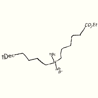 CCCCCCCCCCCCCC[N+](CCC)(CCC)CCCCCC(=O)OCC.[Br-]